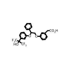 O=C(O)Cc1cccc(OCC(Oc2cccc(C(O)(C(F)(F)F)C(F)(F)F)c2)c2ccccc2)c1